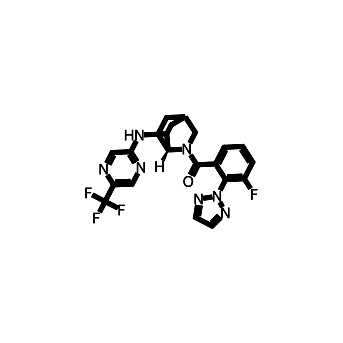 O=C(c1cccc(F)c1-n1nccn1)N1CC2CC[C@@H]1C(Nc1cnc(C(F)(F)F)cn1)C2